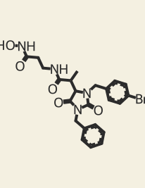 CC(C(=O)NCCC(=O)NO)C1C(=O)N(Cc2ccccc2)C(=O)N1Cc1ccc(Br)cc1